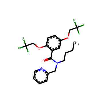 CCCCN(Cc1ccccn1)C(=O)c1cc(OCC(F)(F)F)ccc1OCC(F)(F)F